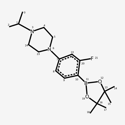 CC(C)N1CCN(c2ccc(B3OC(C)(C)C(C)(C)O3)c(F)c2)CC1